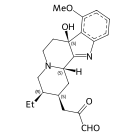 CC[C@H]1CN2CC[C@@]3(O)C(=Nc4cccc(OC)c43)[C@@H]2C[C@H]1CC(=O)C=O